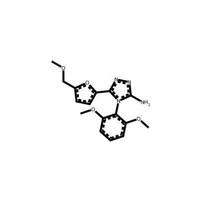 COCc1ccc(-c2nnc(N)n2-c2c(OC)cccc2OC)o1